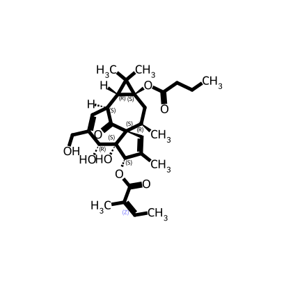 C/C=C(/C)C(=O)O[C@H]1C(C)=C[C@]23C(=O)[C@@H](C=C(CO)[C@@H](O)[C@]12O)[C@@H]1C(C)(C)[C@]1(OC(=O)CCC)C[C@H]3C